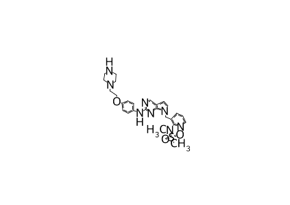 CN(c1ncccc1Cn1ccc2cnc(Nc3ccc(OCCN4CCNCC4)cc3)nc21)S(C)(=O)=O